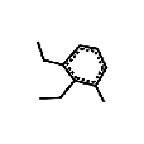 CCc1c[c]cc(C)c1CC